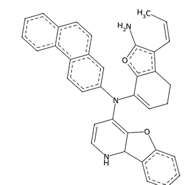 C/C=C\c1c(N)oc2c1CCC=C2N(C1=C2Oc3ccccc3C2NC=C1)c1ccc2c(ccc3ccccc32)c1